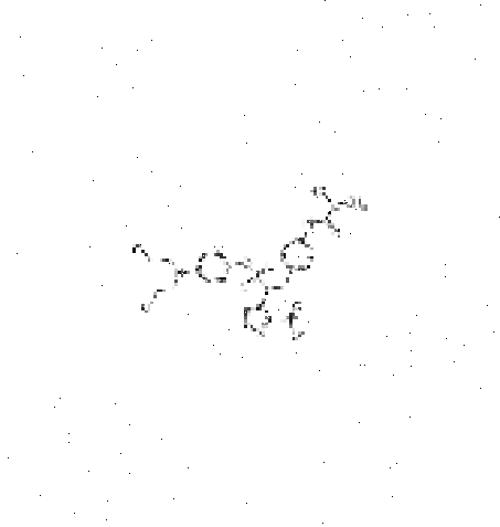 C[C@H](O)C(=O)Nc1ccc(CC(c2ccsc2[N+](=O)[O-])S(=O)(=O)Oc2ccc(N(CCCl)CCCl)cc2)cc1